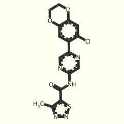 Cc1nnsc1C(=O)Nc1cnc(-c2cc3c(cc2Cl)OCCO3)cn1